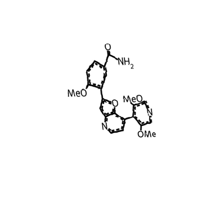 COc1ccc(C(N)=O)cc1-c1cc2nccc(-c3c(OC)cncc3OC)c2o1